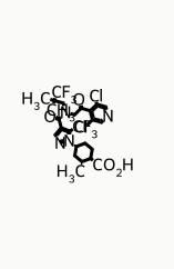 C[C@@H]1C[C@H](n2ncc(C(=O)N(CC(=O)c3c(Cl)cncc3Cl)CC(C)(C)C(F)(F)F)c2C(F)(F)F)CCC1C(=O)O